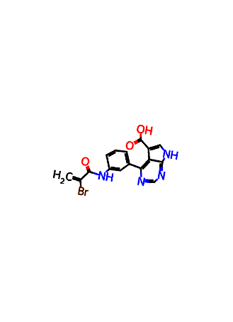 C=C(Br)C(=O)Nc1cccc(-c2ncnc3[nH]cc(C(=O)O)c23)c1